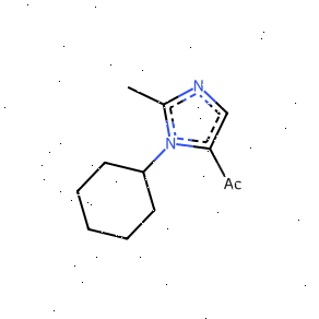 CC(=O)c1cnc(C)n1C1CCCCC1